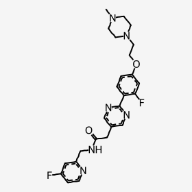 CN1CCN(CCOc2ccc(-c3ncc(CC(=O)NCc4cc(F)ccn4)cn3)c(F)c2)CC1